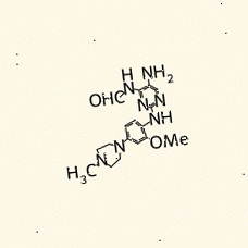 COc1cc(N2CCN(C)CC2)ccc1Nc1ncc(N)c(NC=O)n1